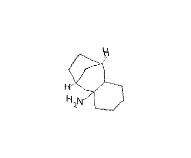 NC12CCCCC1[C@@H]1CC[C@H]2C1